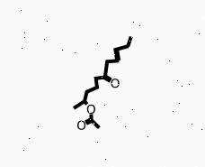 CCC=CCC(=O)CCCC(C)OC(C)=O